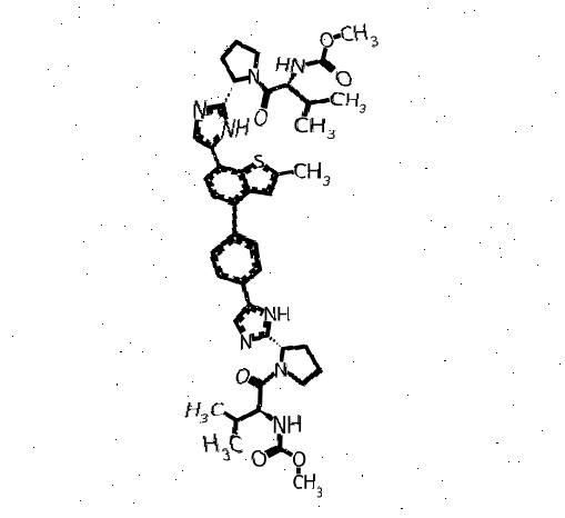 COC(=O)N[C@H](C(=O)N1CCC[C@H]1c1ncc(-c2ccc(-c3ccc(-c4cnc([C@@H]5CCCN5C(=O)[C@@H](NC(=O)OC)C(C)C)[nH]4)c4sc(C)cc34)cc2)[nH]1)C(C)C